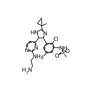 CC1(C2=NC(c3cc(F)cc(NS(C)(=O)=O)c3Cl)C(c3ccnc(NCCN)n3)N2)CC1